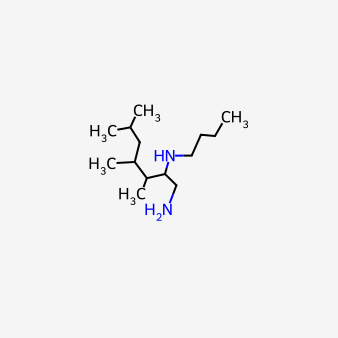 CCCCNC(CN)C(C)C(C)CC(C)C